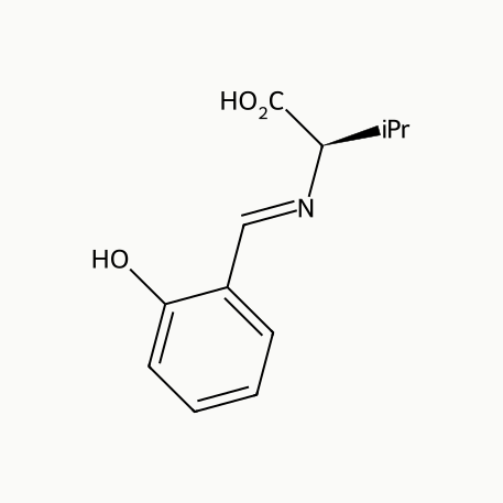 CC(C)[C@@H](/N=C/c1ccccc1O)C(=O)O